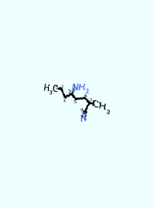 CCCC(N)CCC(C)C#N